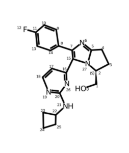 OC[C@@H]1CCc2nc(-c3ccc(F)cc3)c(-c3ccnc(NC4CCC4)n3)n21